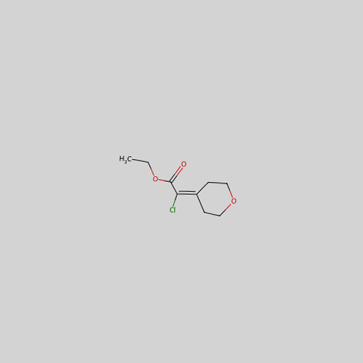 CCOC(=O)C(Cl)=C1CCOCC1